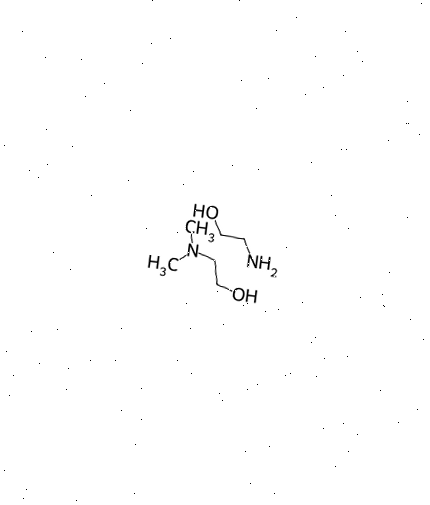 CN(C)CCO.NCCO